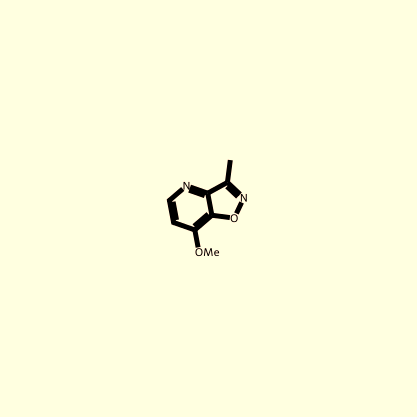 COc1ccnc2c(C)noc12